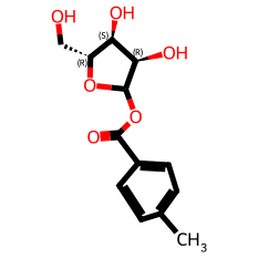 Cc1ccc(C(=O)OC2O[C@H](CO)[C@@H](O)[C@H]2O)cc1